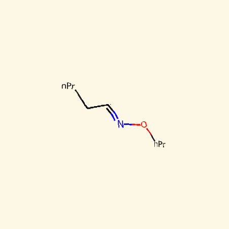 CCCC/[C]=N/OCCC